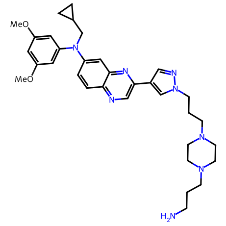 COc1cc(OC)cc(N(CC2CC2)c2ccc3ncc(-c4cnn(CCCN5CCN(CCCN)CC5)c4)nc3c2)c1